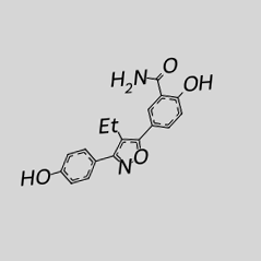 CCc1c(-c2ccc(O)cc2)noc1-c1ccc(O)c(C(N)=O)c1